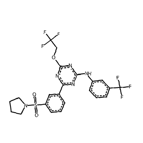 O=S(=O)(c1cccc(-c2nc(Nc3cccc(C(F)(F)F)c3)nc(OCC(F)(F)F)n2)c1)N1CCCC1